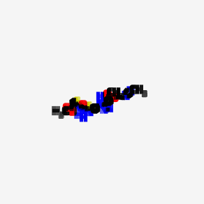 COC(=O)c1ccsc1NC(=O)Nc1nc2ccc(Nc3ncnc4cc(OCCCN5CCN(C)CC5)c(OC)cc34)cc2s1